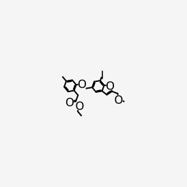 CCOC(=O)Cc1ccc(C)cc1OCc1cc(I)c2oc(COC)cc2c1